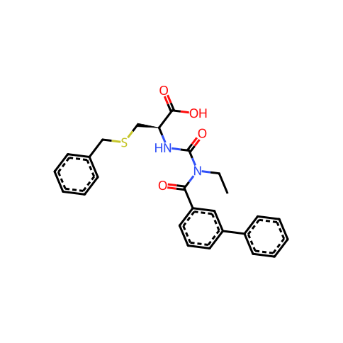 CCN(C(=O)N[C@@H](CSCc1ccccc1)C(=O)O)C(=O)c1cccc(-c2ccccc2)c1